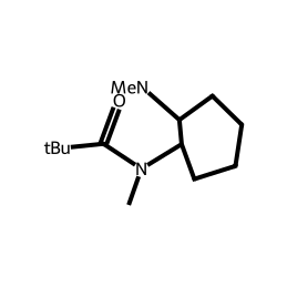 CNC1CCCCC1N(C)C(=O)C(C)(C)C